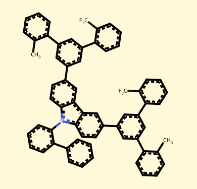 Cc1ccccc1-c1cc(-c2ccc3c(c2)c2cc(-c4cc(-c5ccccc5C)cc(-c5ccccc5C(F)(F)F)c4)ccc2n3-c2ccccc2-c2ccccc2)cc(-c2ccccc2C(F)(F)F)c1